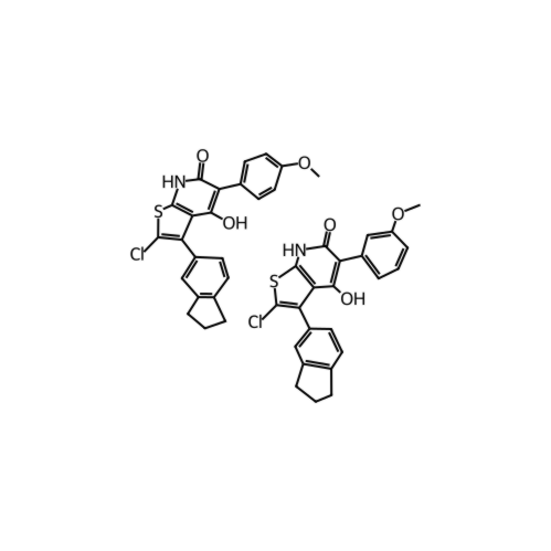 COc1ccc(-c2c(O)c3c(-c4ccc5c(c4)CCC5)c(Cl)sc3[nH]c2=O)cc1.COc1cccc(-c2c(O)c3c(-c4ccc5c(c4)CCC5)c(Cl)sc3[nH]c2=O)c1